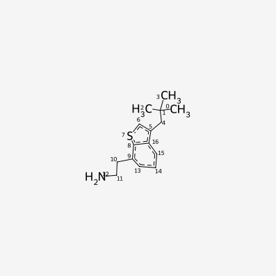 CC(C)(C)Cc1csc2c(CCN)cccc12